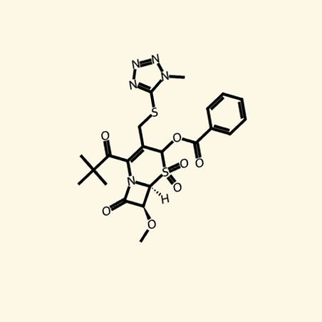 CO[C@H]1C(=O)N2C(C(=O)C(C)(C)C)=C(CSc3nnnn3C)C(OC(=O)c3ccccc3)S(=O)(=O)[C@@H]12